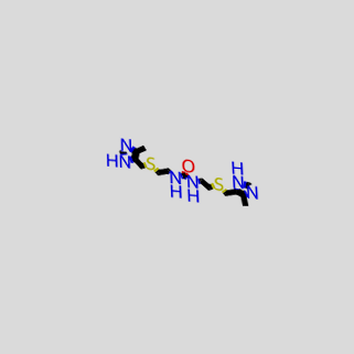 Cc1nc[nH]c1CSCCNC(=O)NCCSCc1[nH]cnc1C